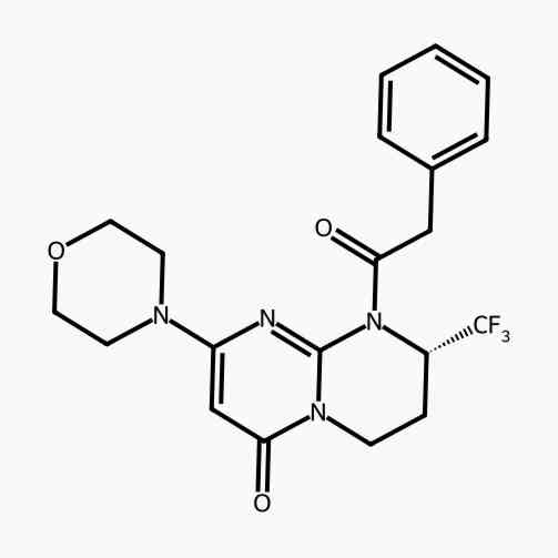 O=C(Cc1ccccc1)N1c2nc(N3CCOCC3)cc(=O)n2CC[C@H]1C(F)(F)F